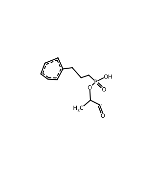 CC([C]=O)OP(=O)(O)CCCc1ccccc1